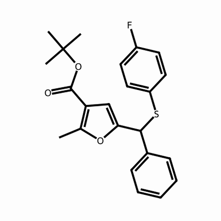 Cc1oc(C(Sc2ccc(F)cc2)c2ccccc2)cc1C(=O)OC(C)(C)C